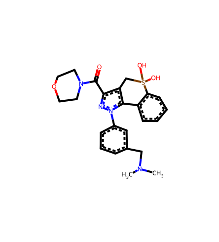 CN(C)Cc1cccc(-n2nc(C(=O)N3CCOCC3)c3c2-c2ccccc2S(O)(O)C3)c1